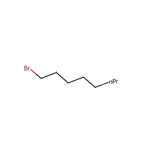 CCCCCC[CH]CBr